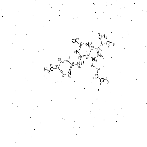 COCCn1nc(C(C)C)c2nc(Cl)nc(Nc3ccc(C)cn3)c21